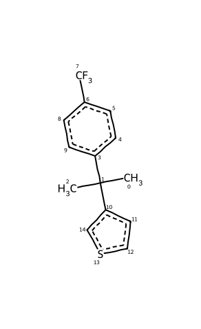 CC(C)(c1ccc(C(F)(F)F)cc1)c1ccsc1